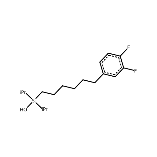 CC(C)[Si](O)(CCCCCCc1ccc(F)c(F)c1)C(C)C